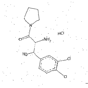 Cl.NC(C(=O)N1CCCC1)C(O)c1ccc(Cl)c(Cl)c1